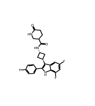 O=C1CCC(C(=O)N[C@H]2C[C@H](c3c(-c4ccc(F)cc4)[nH]c4c(F)cc(F)cc43)C2)CN1